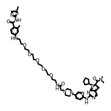 Cc1cnc(NC(=O)c2ccc(NCCOCCOCCOCCOCCOCCNC(=O)CN3CCN(c4ccc(Nc5ncc6cc(C(=O)N(C)C)n(C7CCCC7)c6n5)nc4)CC3)cc2C)s1